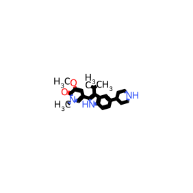 COc1cc(-c2[nH]c3ccc(C4CCNCC4)cc3c2C(C)C)cn(C)c1=O